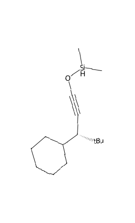 C[SiH](C)OC#C[C@@H](C1CCCCC1)C(C)(C)C